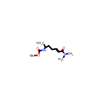 CN(C)C(=O)/C=C/CCC(NC(=O)OC(C)(C)C)C(=O)O